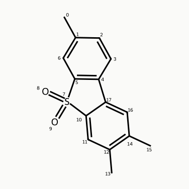 Cc1ccc2c(c1)S(=O)(=O)c1cc(C)c(C)cc1-2